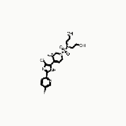 C[C@H]1CN(S(=O)(=O)N(CCO)CCO)CC=C1c1[nH]c(-c2ccc(F)cn2)nc1Cl